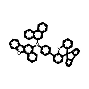 c1ccc2c(c1)Sc1c(-c3ccc(N(c4cc5ccccc5c5ccccc45)c4cc5c6ccccc6oc5c5ccccc45)cc3)cccc1C21c2ccccc2-c2ccccc21